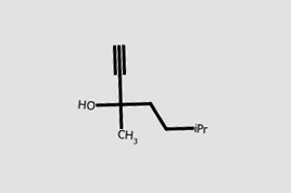 [C]#CC(C)(O)CCC(C)C